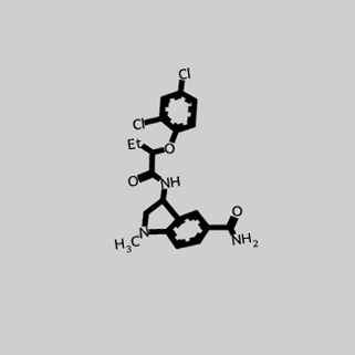 CCC(Oc1ccc(Cl)cc1Cl)C(=O)NC1CN(C)c2ccc(C(N)=O)cc21